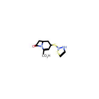 O=C(O)C1=CC(SN2NC=CS2)CC2CC(=O)N12